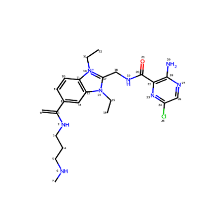 C=C(NCCCNC)c1ccc2c(c1)n(CC)c(CNC(=O)c1nc(Cl)cnc1N)[n+]2CC